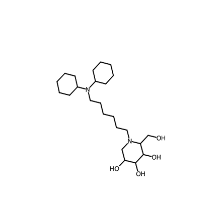 OCC1C(O)C(O)C(O)CN1CCCCCCN(C1CCCCC1)C1CCCCC1